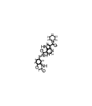 O=C1COc2ccc(CNC(=O)c3ncnc4c(C(=O)N5CCCCC5)c[nH]c34)cc2N1